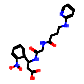 O=C(O)CC(NC(=O)CNC(=O)CCCNc1ccccn1)c1ccccc1[N+](=O)[O-]